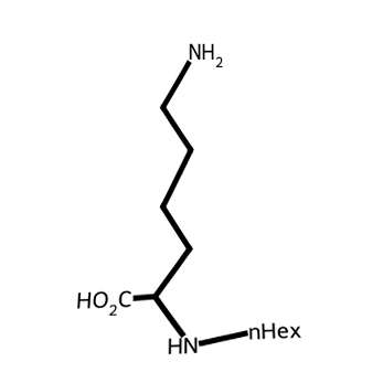 CCCCCCNC(CCCCN)C(=O)O